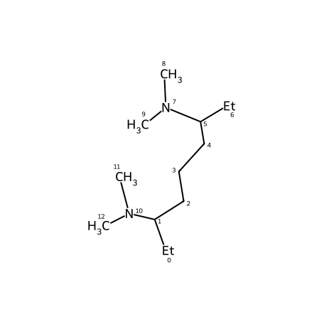 CCC(CCCC(CC)N(C)C)N(C)C